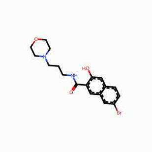 O=C(NCCCN1CCOCC1)c1cc2cc(Br)ccc2cc1O